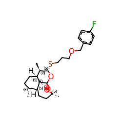 C[C@H]1[C@H](SCCCOCc2ccc(F)cc2)OC2O[C@]3(C)CC[C@H]4[C@H](C)CC[C@@H]1[C@@]24OO3